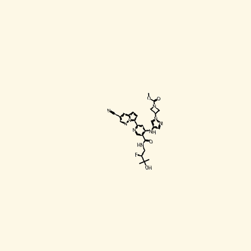 COC(=O)N1CC(n2cc(Nc3cc(-c4ccc5cc(C#N)cnn45)ncc3C(=O)NCC(F)C(C)(C)O)cn2)C1